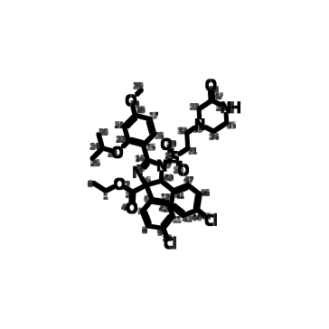 CCOC(=O)C1(c2ccc(Cl)cc2)N=C(c2ccc(OC)cc2OC(C)C)N(S(=O)(=O)CCN2CCNC(=O)C2)C1c1ccc(Cl)cc1